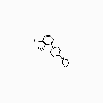 Cc1c(Br)cccc1N1CCC(N2CCCC2)CC1